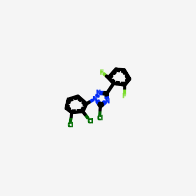 Fc1cccc(F)c1-c1nc(Cl)n(-c2cccc(Cl)c2Cl)n1